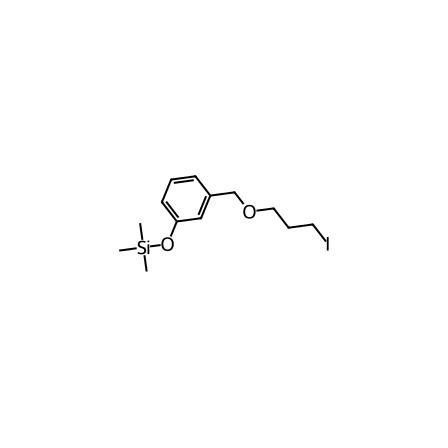 C[Si](C)(C)Oc1cccc(COCCCI)c1